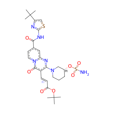 CC(C)(C)OC(=O)/C=C/c1c(N2CCC[C@@H](OS(N)(=O)=O)C2)nc2cc(C(=O)Nc3nc(C(C)(C)C)cs3)ccn2c1=O